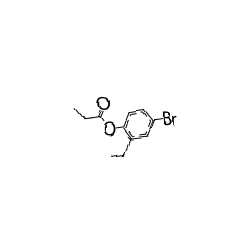 CCC(=O)Oc1ccc(Br)cc1CC